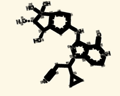 C[C@H]1[C@H](O)c2cc(Nc3nn(C(CC#N)C4CC4)c4cc[nH]c(=O)c34)ccc2S1(O)O